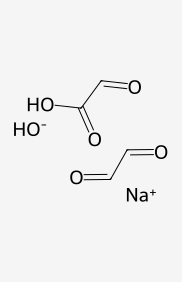 O=CC(=O)O.O=CC=O.[Na+].[OH-]